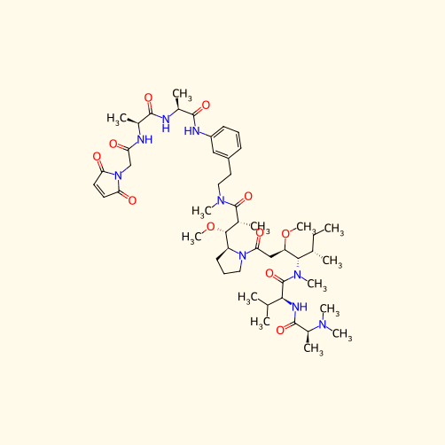 CC[C@H](C)[C@@H]([C@@H](CC(=O)N1CCC[C@H]1[C@H](OC)[C@@H](C)C(=O)N(C)CCc1cccc(NC(=O)[C@H](C)NC(=O)[C@H](C)NC(=O)CN2C(=O)C=CC2=O)c1)OC)N(C)C(=O)[C@@H](NC(=O)[C@H](C)N(C)C)C(C)C